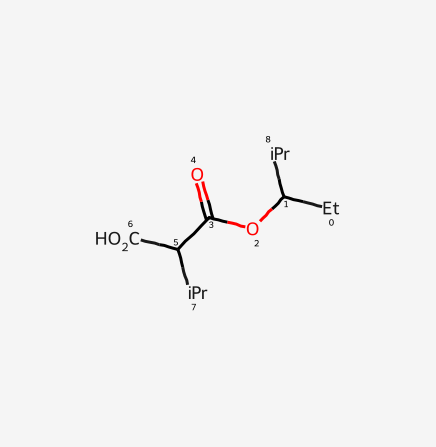 CCC(OC(=O)C(C(=O)O)C(C)C)C(C)C